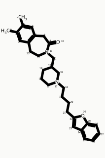 Cc1cc2c(cc1C)CC(=O)N(CC1CCCN(CCCCc3cc4ccccc4o3)C1)CC2